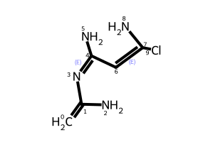 C=C(N)/N=C(N)\C=C(/N)Cl